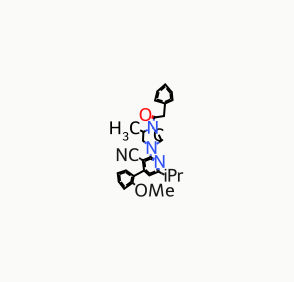 COc1ccccc1-c1cc(C(C)C)nc(N2CCN(C(=O)Cc3ccccc3)C(C)C2)c1C#N